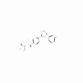 O=C(NC1CONC1=O)c1ccc(C2=NCC(c3ccc(Cl)c(Cl)c3)(C(F)(F)F)C2)nc1